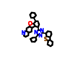 c1ccc(-c2nc(-c3cccc4c3sc3ccccc34)nc(-c3ccc(-c4ccccc4)c4oc5cc6ncccc6cc5c34)n2)cc1